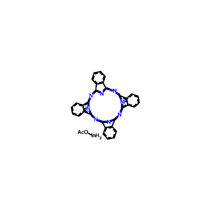 CC(=O)[O][InH2].c1ccc2c(c1)-c1nc-2nc2[nH]c(nc3nc(nc4[nH]c(n1)c1ccccc41)-c1ccccc1-3)c1ccccc21